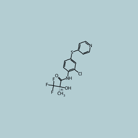 C[C@@](O)(C(=O)Nc1ccc(Sc2ccncc2)cc1Cl)C(F)(F)F